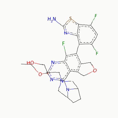 CCOc1nc(N2C3CCC2CN(CCCO)C3)c2c3c(c(-c4c(F)cc(F)c5sc(N)nc45)c(F)c2n1)COC3